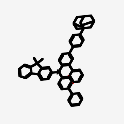 CC1(C)c2ccccc2-c2ccc(N(c3ccc(-c4ccccc4)cc3)c3ccc(-c4ccc(C56CC7CC(CC(C7)C5)C6)cc4)cc3-c3ccccc3)cc21